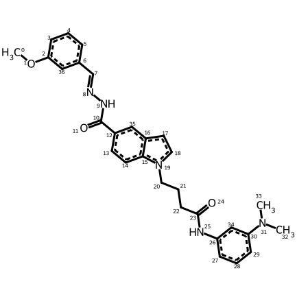 COc1cccc(/C=N/NC(=O)c2ccc3c(ccn3CCCC(=O)Nc3cccc(N(C)C)c3)c2)c1